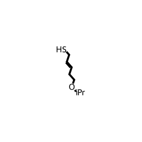 CC(C)OCCC=CCS